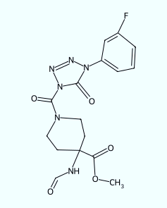 COC(=O)C1(NC=O)CCN(C(=O)n2nnn(-c3cccc(F)c3)c2=O)CC1